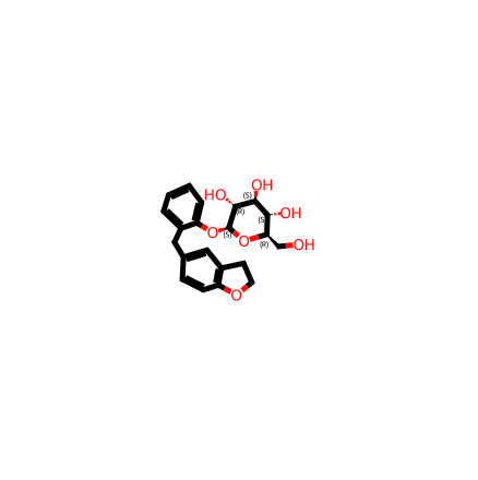 OC[C@H]1O[C@@H](Oc2ccccc2Cc2ccc3c(c2)CCO3)[C@H](O)[C@@H](O)[C@@H]1O